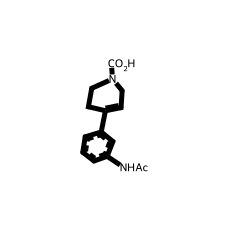 CC(=O)Nc1cccc(C2=CCN(C(=O)O)CC2)c1